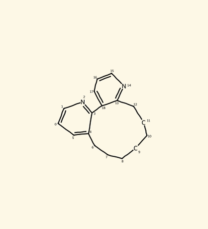 c1cnc2c(c1)CCCCCCCc1ncccc1-2